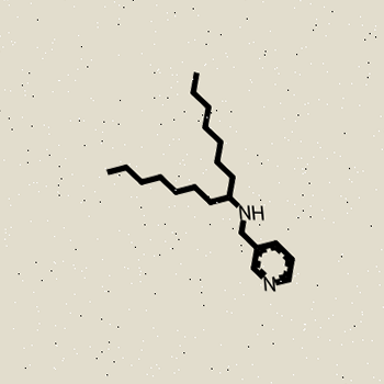 CCCCCCCC(CCCCCCC)NCc1cccnc1